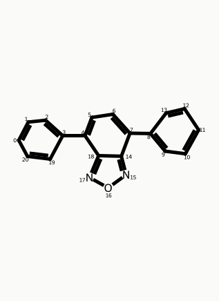 c1ccc(-c2ccc(-c3ccccc3)c3nonc23)cc1